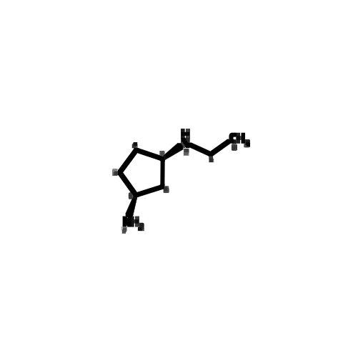 CCN[C@@H]1CC[C@H](N)C1